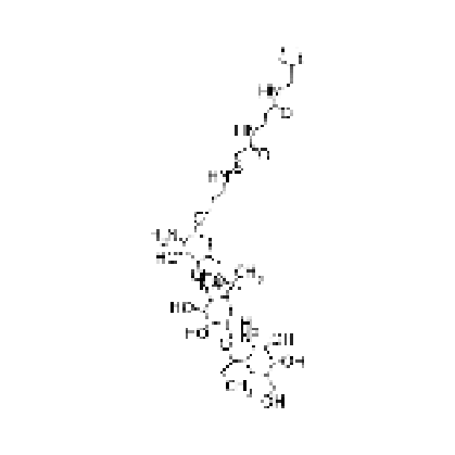 CCC(OCC1CC(C(C)(I)OCC2CC(OCCCNSCC(=O)NCCC(=O)NCC3CCCC3)C(N)C(O)C2O)C(N)C(O)C1O)C1CC(CO)C(O)C(O)C1N